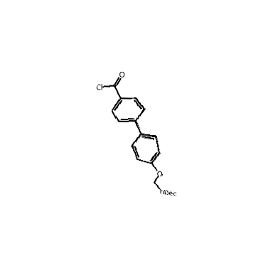 CCCCCCCCCCCOc1ccc(-c2ccc(C(=O)Cl)cc2)cc1